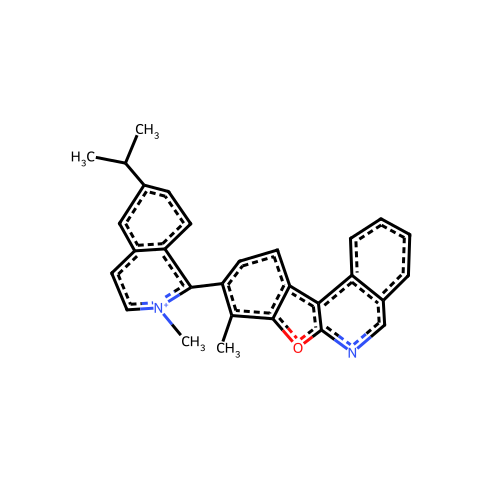 Cc1c(-c2c3ccc(C(C)C)cc3cc[n+]2C)ccc2c1oc1ncc3ccccc3c12